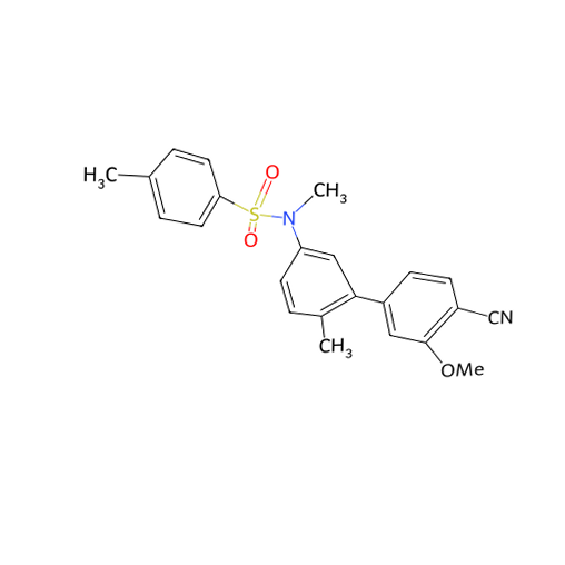 COc1cc(-c2cc(N(C)S(=O)(=O)c3ccc(C)cc3)ccc2C)ccc1C#N